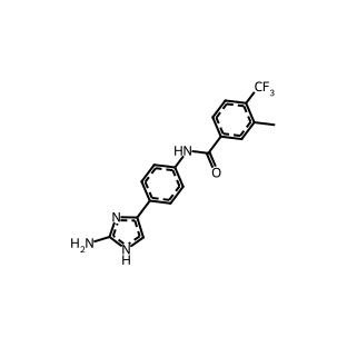 Cc1cc(C(=O)Nc2ccc(-c3c[nH]c(N)n3)cc2)ccc1C(F)(F)F